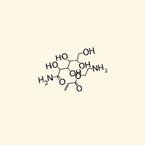 C=CC(=O)OCCN.NC(=O)C(O)C(O)C(O)C(O)CO